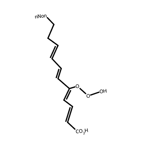 CCCCCCCCCCCC=CC=CC(=CC=CC(=O)O)OOO